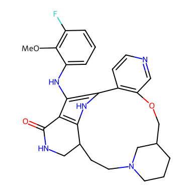 COc1c(F)cccc1Nc1c2[nH]c3c1C(=O)NCC3CCN1CCCC(COc3cnccc3-2)C1